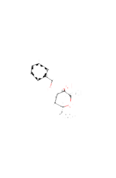 CO[C@H]1C[C@H](OCc2ccccc2)[C@H](O)[C@H](C)O1